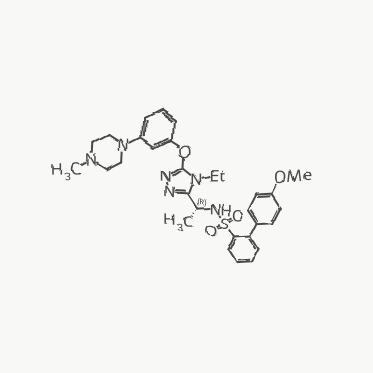 CCn1c(Oc2cccc(N3CCN(C)CC3)c2)nnc1[C@@H](C)NS(=O)(=O)c1ccccc1-c1ccc(OC)cc1